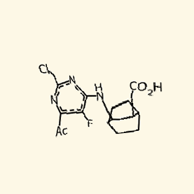 CC(=O)c1nc(Cl)nc(NC2C3CCC(CC3)C2C(=O)O)c1F